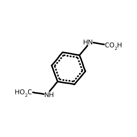 O=C(O)Nc1ccc(NC(=O)O)cc1